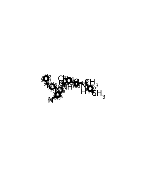 Cc1ccc(C(C)NCc2ccc(-c3ccc(Cl)c(C(=O)NC(CNC4CCN(Cc5ccccc5)CC4)Cc4ccc(C#N)cc4)c3)o2)cc1